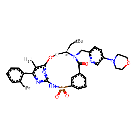 Cc1c2nc(nc1-c1ccccc1C(C)C)NS(=O)(=O)c1cccc(c1)C(=O)N(Cc1ccc(N3CCOCC3)cn1)[C@H](CC(C)(C)C)CO2